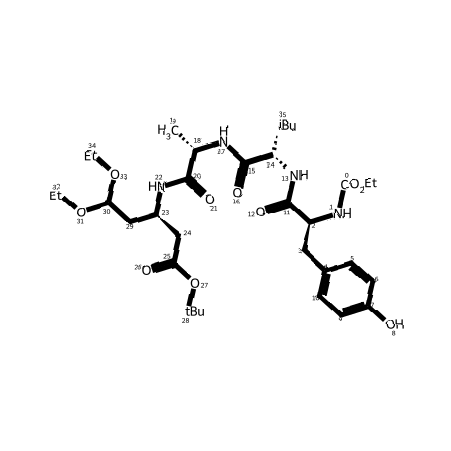 CCOC(=O)N[C@@H](Cc1ccc(O)cc1)C(=O)N[C@H](C(=O)N[C@@H](C)C(=O)N[C@@H](CC(=O)OC(C)(C)C)CC(OCC)OCC)[C@@H](C)CC